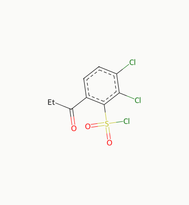 CCC(=O)c1ccc(Cl)c(Cl)c1S(=O)(=O)Cl